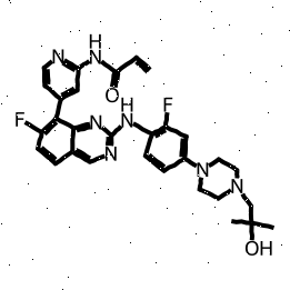 C=CC(=O)Nc1cc(-c2c(F)ccc3cnc(Nc4ccc(N5CCN(CC(C)(C)O)CC5)cc4F)nc23)ccn1